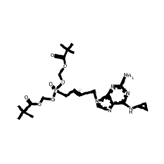 CC(C)(C)C(=O)OCOP(=O)(C/C=C/Cn1cnc2c(NC3CC3)nc(N)nc21)OCOC(=O)C(C)(C)C